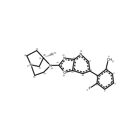 Cc1cccc(F)c1-c1cnc2nc(N3CCN4CC[C@@H]3C4)oc2c1